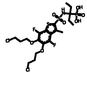 CCC(CC)(NS(=O)(=O)c1sc2c(F)c(OCCCCl)c(OCCCCl)c(F)c2c1C)P(=O)(O)O